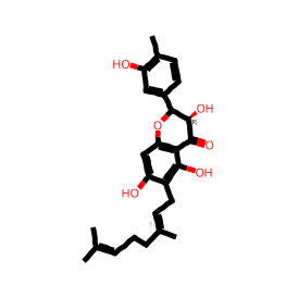 CC(C)=CCC/C(C)=C/Cc1c(O)cc2c(c1O)C(=O)[C@H](O)C(c1ccc(C)c(O)c1)O2